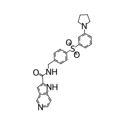 O=C(NCc1ccc(S(=O)(=O)c2cccc(N3CCCC3)c2)cc1)c1cc2cnccc2[nH]1